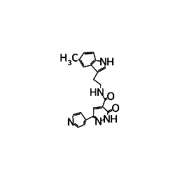 Cc1ccc2[nH]cc(CCNC(=O)c3cc(-c4ccncc4)n[nH]c3=O)c2c1